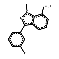 Cn1nc(-c2cccc(F)c2)c2cccc(C(=O)O)c21